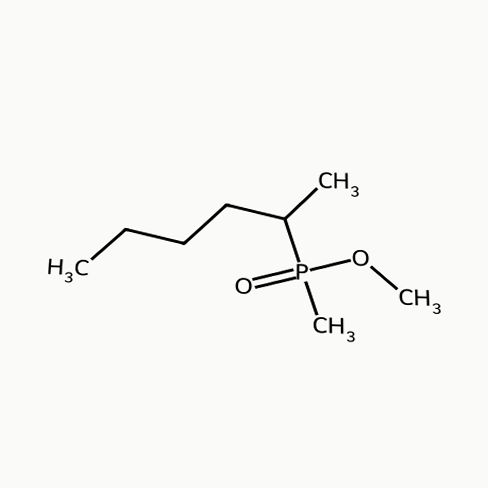 CCCCC(C)P(C)(=O)OC